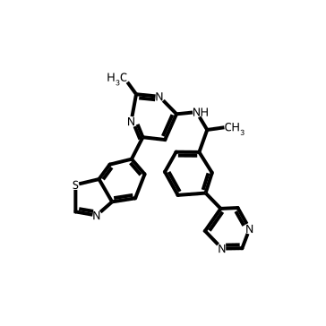 Cc1nc(NC(C)c2cccc(-c3cncnc3)c2)cc(-c2ccc3ncsc3c2)n1